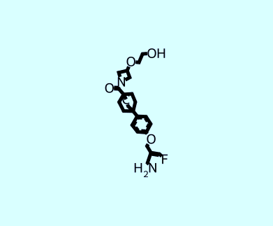 NCC(=CF)COc1ccc(C23CCC(C(=O)N4CC(OCCO)C4)(CC2)CC3)cc1